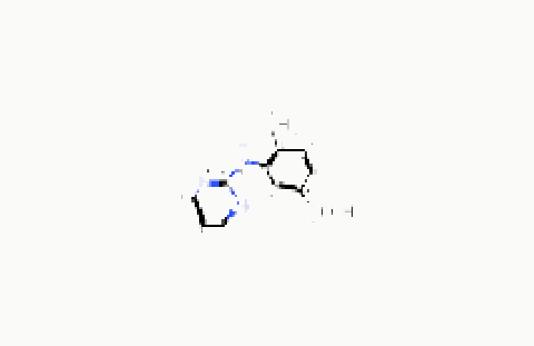 Cc1ccc(C(=O)O)cc1Nc1ncccn1